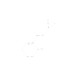 O=C(CC1CC1)c1ccccc1F